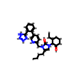 CCCCc1cn(C2C(=O)CCCC2CC)c(=O)n1Cc1ccc(-c2ccccc2-c2nnn[nH]2)cn1